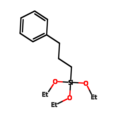 CCO[Si](CCCc1ccccc1)(OCC)OCC